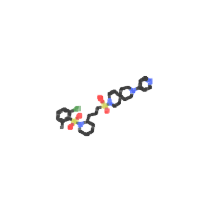 Cc1cccc(Cl)c1S(=O)(=O)N1CCCCC1CCCS(=O)(=O)N1CCC2(CCN(c3ccncc3)CC2)CC1